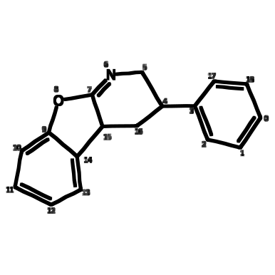 c1ccc(C2CN=C3Oc4ccccc4C3C2)cc1